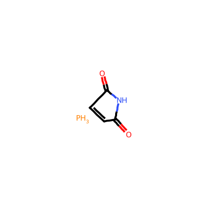 O=C1C=CC(=O)N1.P